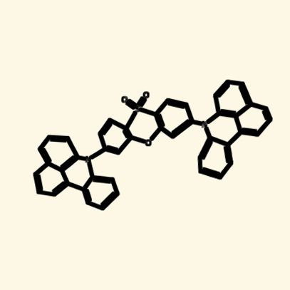 O=S1(=O)c2ccc(N3c4ccccc4-c4cccc5cccc3c45)cc2Oc2cc(N3c4ccccc4-c4cccc5cccc3c45)ccc21